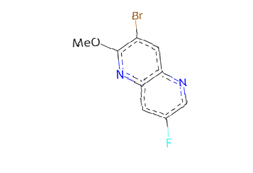 COc1nc2cc(F)cnc2cc1Br